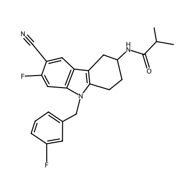 CC(C)C(=O)NC1CCc2c(c3cc(C#N)c(F)cc3n2Cc2cccc(F)c2)C1